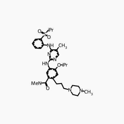 CNC(=O)c1cc(Nc2ncc(C)c(Nc3ccccc3S(=O)(=O)C(C)C)n2)c(OC(C)C)cc1CCCN1CCN(C)CC1